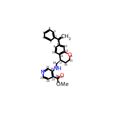 C=C(c1ccccc1)c1ccc2c(c1)OCC[C@H]2CNc1cnccc1C(=O)OC